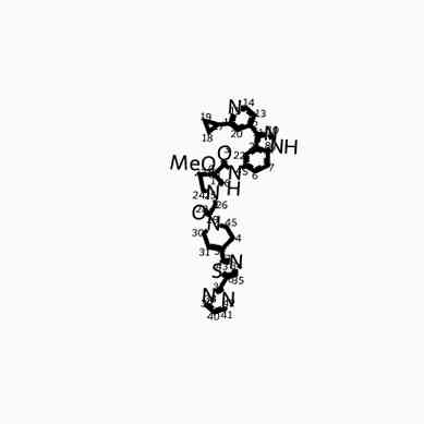 CO[C@@]1(C(=O)Nc2ccc3[nH]nc(-c4ccnc(C5CC5)c4)c3c2)CCN(CC(=O)N2CC=C(c3ncc(-c4ncccn4)s3)CC2)C1